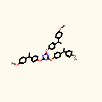 CC(C)Oc1ccc(C(C)c2ccc(Oc3nc(Oc4ccc(C(C)c5ccc(OC(C)C)cc5)cc4)nc(Oc4ccc(C(C)c5ccc(OC(C)C)cc5)cc4)n3)cc2)cc1